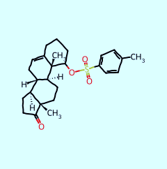 Cc1ccc(S(=O)(=O)OC2CCCC3=CC[C@H]4[C@@H]5CCC(=O)[C@@]5(C)CC[C@@H]4[C@]32C)cc1